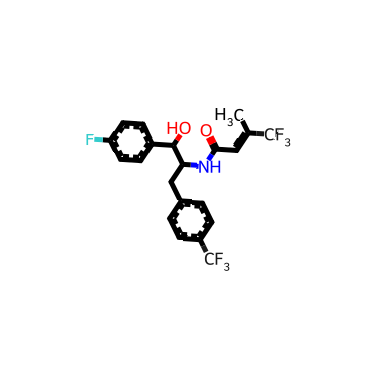 CC(=CC(=O)NC(Cc1ccc(C(F)(F)F)cc1)C(O)c1ccc(F)cc1)C(F)(F)F